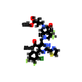 COC(=O)C1=C(CN2CC(F)(F)[C@@H]3C(=O)N(CC(C)(C)C(=O)OC(C)(C)C)C[C@@H]32)NC(c2nccs2)=NC1c1ccc(F)c(F)c1Cl